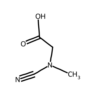 CN(C#N)CC(=O)O